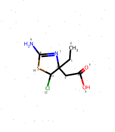 CCC1(CC(=O)O)N=C(N)SC1Cl